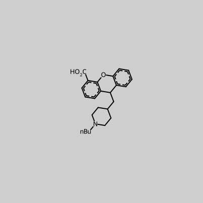 CCCCN1CCC(CC2c3ccccc3Oc3c(C(=O)O)cccc32)CC1